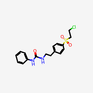 O=C(NCCc1ccc(S(=O)(=O)CCCl)cc1)Nc1ccccc1